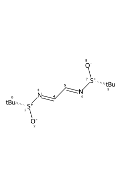 CC(C)(C)[S@@+]([O-])/N=C/C=N/[S@+]([O-])C(C)(C)C